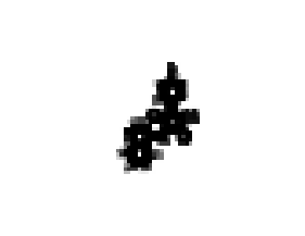 O=C1NN(c2ccc(I)cc2)C(=O)C1=Cc1ccnc2ccccc12